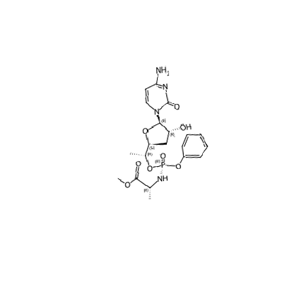 COC(=O)[C@@H](C)N[P@](=O)(Oc1ccccc1)O[C@H](C)[C@@H]1C[C@@H](O)[C@H](n2ccc(N)nc2=O)O1